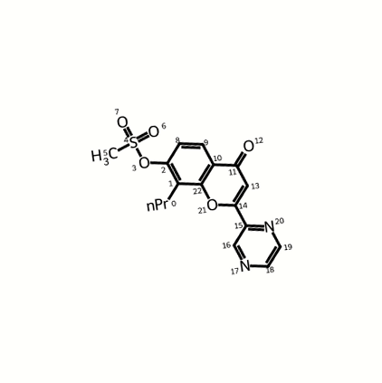 CCCc1c(OS(C)(=O)=O)ccc2c(=O)cc(-c3cnccn3)oc12